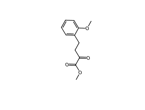 COC(=O)C(=O)CCc1ccccc1OC